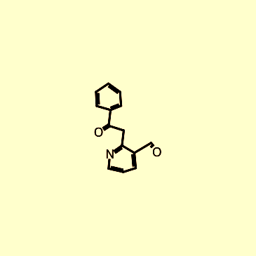 O=Cc1cccnc1CC(=O)c1ccccc1